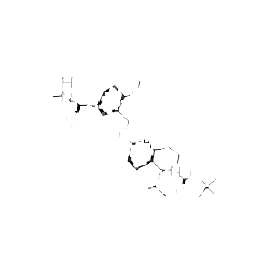 CNC(=O)c1ccc(OC)c(COc2ccc3c(c2)CCN(C(=O)OC(C)(C)C)[C@H]3C(C)C)c1